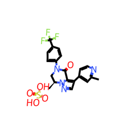 Cc1cc(-c2cnn3c2C(=O)N(c2ccc(C(F)(F)F)cc2)C[C@@H]3C)ccn1.O=S(=O)(O)O